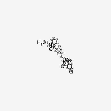 CCCn1c(=O)n(C2CCN(CCCCN3C(=O)c4cc(Cl)ccc4S3(=O)=O)CC2)c2ccccc21